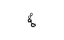 O=COc1ccc(-c2cccnc2)s1